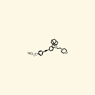 O=C(O)c1ccc(C#Cc2ccc(OCCN3CCOCC3)c(C34CC5CC(CC(C5)C3)C4)c2)cc1